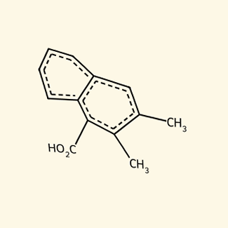 Cc1cc2ccccc2c(C(=O)O)c1C